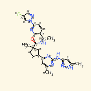 Cc1cc(C2CC[C@](C)(C(=O)N[C@@H](C)c3ccc(-n4cc(F)cn4)nc3)C2)nc(Nc2cc(C)[nH]n2)n1